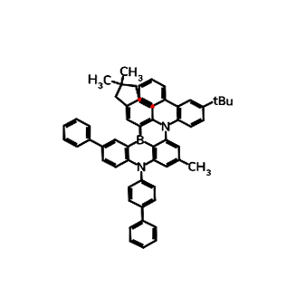 Cc1cc2c3c(c1)N(c1ccc(C(C)(C)C)cc1-c1ccccc1)c1cc4c(cc1B3c1cc(-c3ccccc3)ccc1N2c1ccc(-c2ccccc2)cc1)CC(C)(C)C4